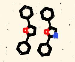 c1ccc(-c2ccc(-c3ccccc3)o2)cc1.c1ccc(-c2cnc(-c3ccccc3)o2)cc1